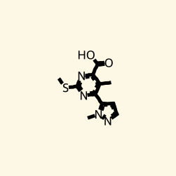 CSc1nc(C(=O)O)c(C)c(-c2ccnn2C)n1